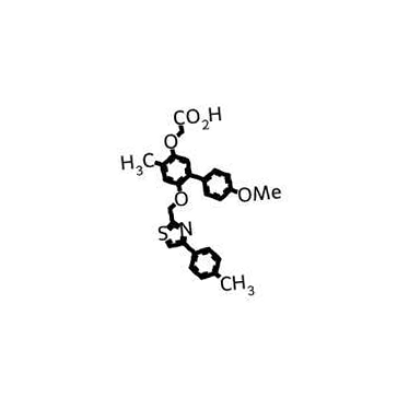 COc1ccc(-c2cc(OCC(=O)O)c(C)cc2OCc2nc(-c3ccc(C)cc3)cs2)cc1